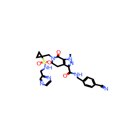 Cn1nc(C(=O)NCc2ccc(C#N)cc2)c2c1C(=O)N(CC1(S(=O)(=O)NCc3cnccn3)CC1)CC2